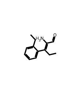 CCC(=C(N)C=O)c1ccccc1CC